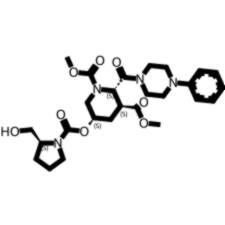 COC(=O)[C@H]1C[C@H](OC(=O)N2CCC[C@H]2CO)CN(C(=O)OC)[C@@H]1C(=O)N1CCN(c2ccccc2)CC1